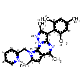 CCCc1cc2c(C)nc3c(-c4c(C)cc(C)cc4C)c(C)nn3c2n1Cc1ccccn1